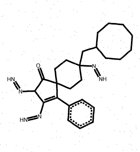 N=NC1=C(c2ccccc2)C2(CCC(CC3CCCCCCC3)(N=N)CC2)C(=O)C1N=N